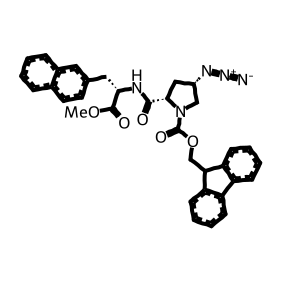 COC(=O)[C@H](Cc1ccc2ccccc2c1)NC(=O)[C@@H]1C[C@H](N=[N+]=[N-])CN1C(=O)OCC1c2ccccc2-c2ccccc21